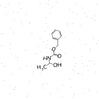 CC(O)NC(=O)OCc1ccccc1